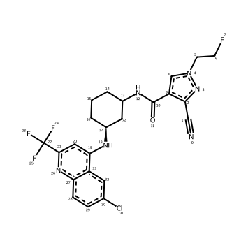 N#Cc1nn(CCF)cc1C(=O)NC1CCC[C@H](Nc2cc(C(F)(F)F)nc3ccc(Cl)cc23)C1